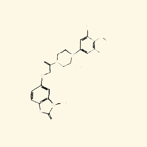 COc1c(F)cc(N2CCN(C(=O)CNc3ccc4[nH]c(=O)n(C)c4c3)C[C@H]2C)cc1F